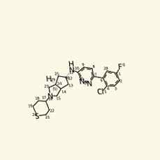 Fc1ccc(Cl)c(-c2ccc(N[C@@H]3CC4CN(C5CCSCC5)C[C@H]4C3)nn2)c1